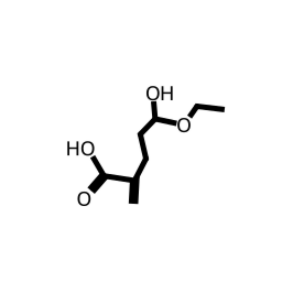 C=C(CCC(O)OCC)C(=O)O